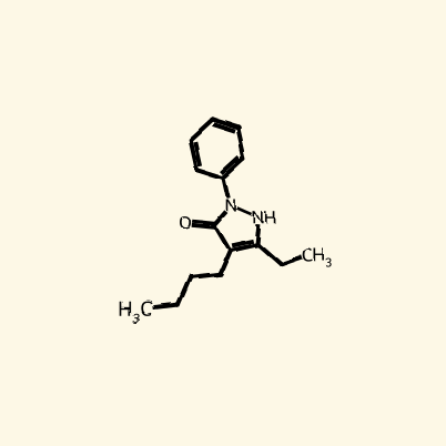 CCCCc1c(CC)[nH]n(-c2ccccc2)c1=O